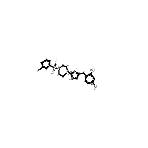 O=S(=O)(c1cccc(F)c1)N1CCN(c2nc(Cc3ccc(Cl)cc3Cl)cs2)CC1